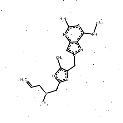 C=CCN(C)Cc1nc(Cn2cc3nc(N)nc(NCCCC)c3n2)c(C)o1